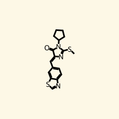 CSC1=N/C(=C\c2ccc3ncsc3c2)C(=O)N1C1CCCC1